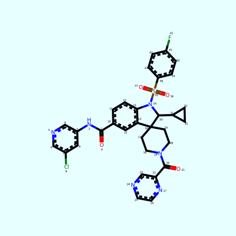 O=C(Nc1cncc(Cl)c1)c1ccc2c(c1)C1(CCN(C(=O)c3cnccn3)CC1)C(C1CC1)N2S(=O)(=O)c1ccc(F)cc1